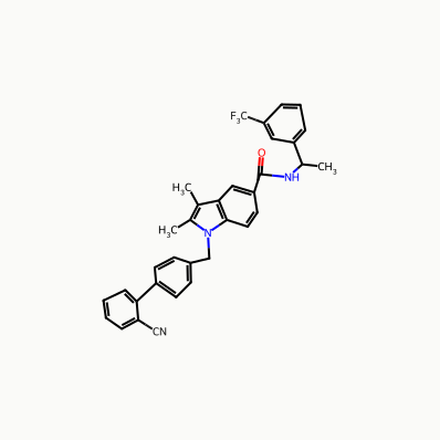 Cc1c(C)n(Cc2ccc(-c3ccccc3C#N)cc2)c2ccc(C(=O)NC(C)c3cccc(C(F)(F)F)c3)cc12